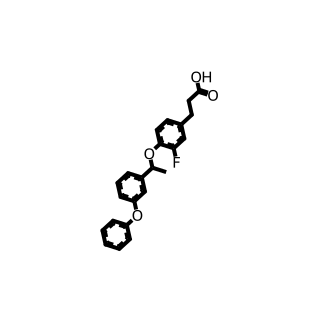 CC(Oc1ccc(CCC(=O)O)cc1F)c1cccc(Oc2ccccc2)c1